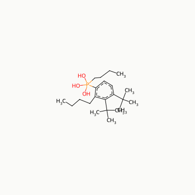 CCCCc1c(P(O)(O)(O)CCCC)ccc(C(C)(C)C)c1C(C)(C)C